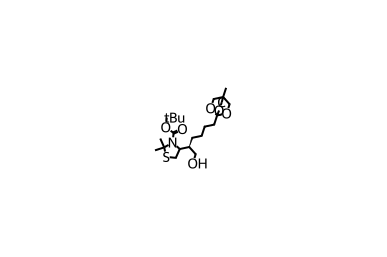 CC12COC(CCCC[C@@H](CO)C3CSC(C)(C)N3C(=O)OC(C)(C)C)(OC1)OC2